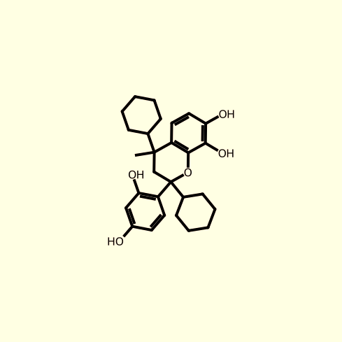 CC1(C2CCCCC2)CC(c2ccc(O)cc2O)(C2CCCCC2)Oc2c1ccc(O)c2O